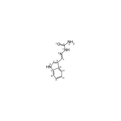 NC(=O)N/N=C/c1c[nH]c2ccccc12